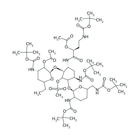 CCC1C[C@H](NC(=O)OC(C)(C)C)C(OC(C)=O)[C@@H](O[C@@H]2C(OS(C)(=O)=O)C(O[C@H]3OC(CNC(=O)OC(C)(C)C)CCC3NC(=O)OC(C)(C)C)[C@H](NC(=O)OC(C)(C)C)C[C@H]2NC(=O)[C@H](CCNC(=O)OC(C)(C)C)OC(C)=O)O1